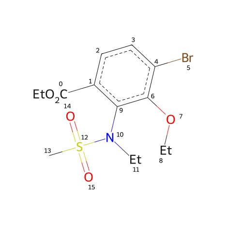 CCOC(=O)c1ccc(Br)c(OCC)c1N(CC)S(C)(=O)=O